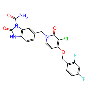 NC(=O)n1c(=O)[nH]c2ccc(Cn3ccc(OCc4ccc(F)cc4F)c(Cl)c3=O)cc21